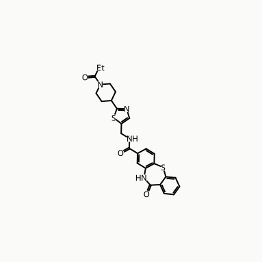 CCC(=O)N1CCC(c2ncc(CNC(=O)c3ccc4c(c3)NC(=O)c3ccccc3S4)s2)CC1